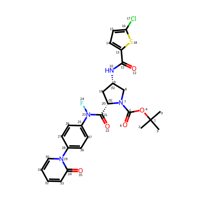 CC(C)(C)OC(=O)N1C[C@@H](NC(=O)c2ccc(Cl)s2)C[C@H]1C(=O)N(F)c1ccc(-n2ccccc2=O)cc1